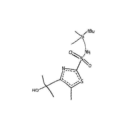 Cc1sc(S(=O)(=O)N[Si](C)(C)C(C)(C)C)nc1C(C)(C)O